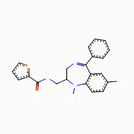 CN1c2ccc([N+](=O)[O-])cc2C(c2ccccc2)=NCC1CNC(=O)c1cccs1